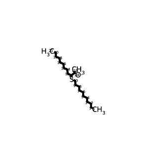 CCCCCCCCCCCSC(CCCCCCCCC)C(C)[O]